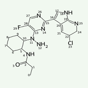 CCC(=O)NC1CCCCC1N(N)c1nc(-c2c[nH]c3c2=CC(Cl)CN=3)ncc1F